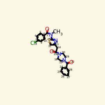 CN(C(=O)c1ccc(Cl)cc1)c1nc(CC(=O)N2CCN(C(=O)c3ccccc3)CC2)cs1